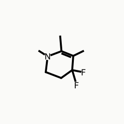 CC1=C(C)C(F)(F)CCN1C